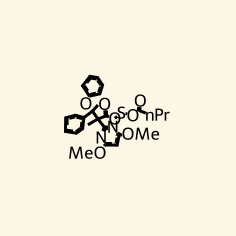 CCCC(=O)OSOC(=O)C(C)(c1nc(OC)cc(OC)n1)C(C)(Oc1ccccc1)c1ccccc1